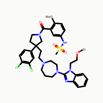 CCOCCn1c(N2CCCN(CCC3(c4ccc(Cl)c(Cl)c4)CCN(C(=O)c4cc(NS(C)(=O)=O)ccc4OC)C3)CC2)nc2ccccc21